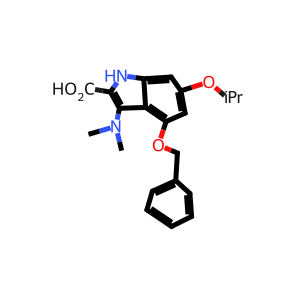 CC(C)Oc1cc(OCc2ccccc2)c2c(N(C)C)c(C(=O)O)[nH]c2c1